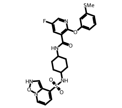 CSc1cccc(Oc2ncc(F)cc2C(=O)NC2CCC(NS(=O)(=O)C3=CC=CN4ONC=C34)CC2)c1